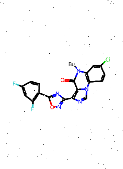 CCC(C)n1c(=O)c2c(-c3noc(-c4ccc(F)cc4F)n3)ncn2c2ccc(Cl)cc21